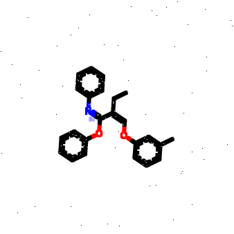 CCC(=COc1cccc(C)c1)/C(=N\c1ccccc1)Oc1ccccc1